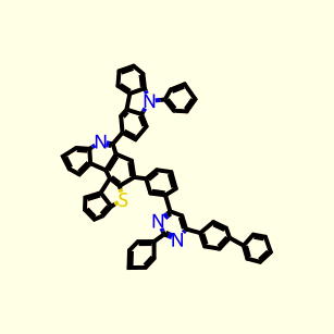 c1ccc(-c2ccc(-c3cc(-c4cccc(-c5cc6c(-c7ccc8c(c7)c7ccccc7n8-c7ccccc7)nc7ccccc7c6c6c5sc5ccccc56)c4)nc(-c4ccccc4)n3)cc2)cc1